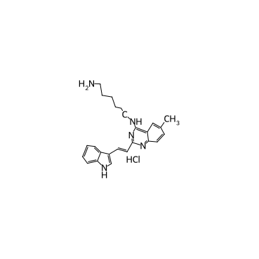 Cc1ccc2nc(C=Cc3c[nH]c4ccccc34)nc(NCCCCCCN)c2c1.Cl